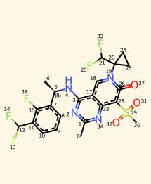 Cc1nc(N[C@H](C)c2cccc(C(F)F)c2F)c2cn(C3(C(F)F)CC3)c(=O)c(S(C)(=O)=O)c2n1